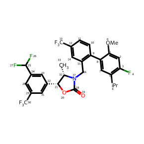 COc1cc(F)c(C(C)C)cc1-c1ccc(C(F)(F)F)cc1CN1C(=O)O[C@H](c2cc(C(F)F)cc(C(F)(F)F)c2)[C@@H]1C